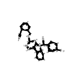 N#Cc1ccccc1CSc1nnc2c3ccccc3n(C(=O)c3ccc(F)cc3)c2n1